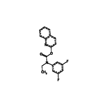 CCN(C(=O)Oc1ccc2ccccc2n1)c1cc(F)cc(F)c1